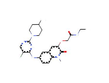 CCNC(=O)COc1cc2cc(Nc3nc(N4CCC(C)CC4)ncc3Cl)ccc2n(C)c1=O